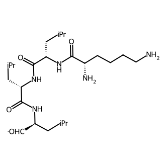 CC(C)C[C@@H]([C]=O)NC(=O)[C@H](CC(C)C)NC(=O)[C@H](CC(C)C)NC(=O)[C@@H](N)CCCCN